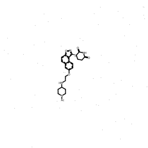 CC(=O)N1CCC(NCCOc2ccc3c(ccc4onc([C@@H]5CCC(=O)NC5=O)c43)c2)CC1